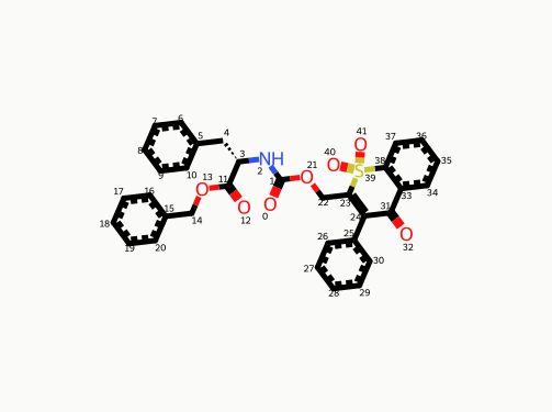 O=C(N[C@@H](Cc1ccccc1)C(=O)OCc1ccccc1)OCC1=C(c2ccccc2)C(=O)c2ccccc2S1(=O)=O